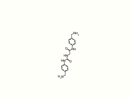 NCc1ccc(NC(=O)CNC(=O)Nc2ccc(CN)cc2)cc1